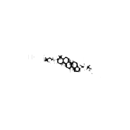 CC(C)(CN)NC(=O)C[C@]12CCC[C@@H]1[C@H]1CCC3[C@@]4(C)CC[C@H](OC(=O)CC(C)(C)C(=O)O)C(C)(C)C4CC[C@@]3(C)[C@]1(C)CC2